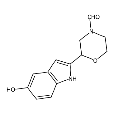 O=CN1CCOC(c2cc3cc(O)ccc3[nH]2)C1